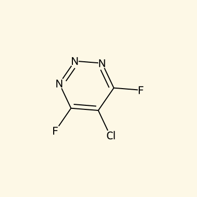 Fc1nnnc(F)c1Cl